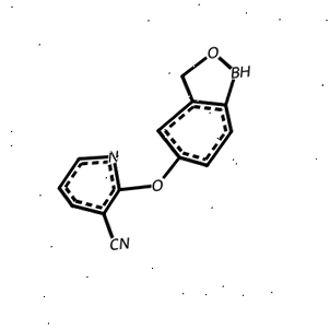 N#Cc1cccnc1Oc1ccc2c(c1)COB2